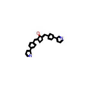 O=C1C(=Cc2ccc(-c3cccnc3)cc2)CCC1=Cc1ccc(-c2cccnc2)cc1